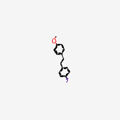 COc1ccc(/C=C/c2ccc(I)cc2)cc1